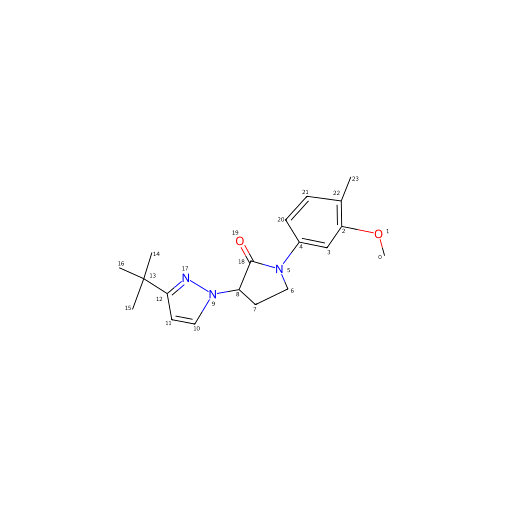 COc1cc(N2CCC(n3ccc(C(C)(C)C)n3)C2=O)ccc1C